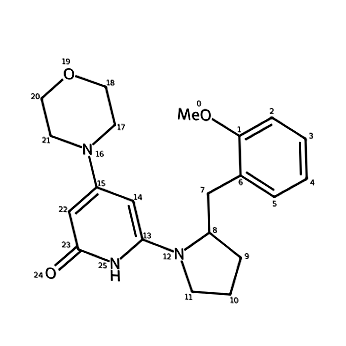 COc1ccccc1CC1CCCN1c1cc(N2CCOCC2)cc(=O)[nH]1